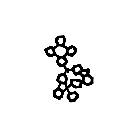 c1ccc(C2(c3ccccc3)c3ccccc3-c3ccc(N(c4ccc5c(c4)-c4ccccc4-c4ccccc4-c4ccccc4-5)c4ccc5oc6ccccc6c5c4)cc32)cc1